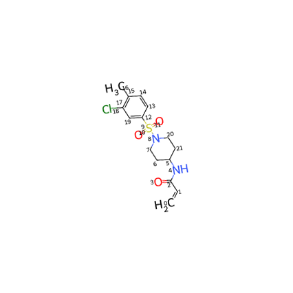 C=CC(=O)NC1CCN(S(=O)(=O)c2ccc(C)c(Cl)c2)CC1